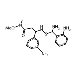 CON(C)C(=O)CC(NSC(N)c1ccccc1N)c1cccc(C(F)(F)F)c1